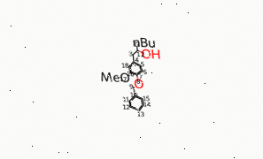 CCCCC(O)Cc1ccc(OCc2ccccc2)c(OC)c1